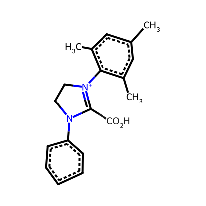 Cc1cc(C)c([N+]2=C(C(=O)O)N(c3ccccc3)CC2)c(C)c1